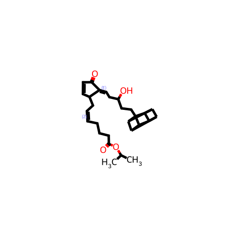 CC(C)OC(=O)CCC/C=C\CC1C=CC(=O)/C1=C/CC(O)CCC12C3C4C5C3C1C5C42